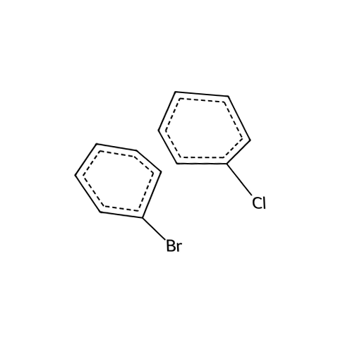 Brc1ccccc1.Clc1ccccc1